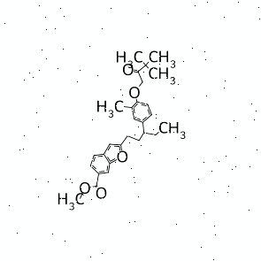 CCC(CCc1cc2ccc(C(=O)OC)cc2o1)c1ccc(OCC(=O)C(C)(C)C)c(C)c1